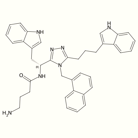 NCCCC(=O)N[C@H](Cc1c[nH]c2ccccc12)c1nnc(CCCc2c[nH]c3ccccc23)n1Cc1cccc2ccccc12